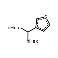 CCCCCCCC(CCCCCC)c1ccsc1